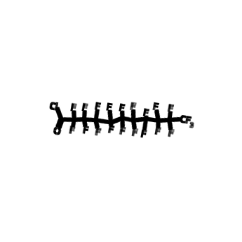 O=C(Cl)C(F)(F)C(F)(F)C(F)(F)C(F)(F)C(F)(F)C(F)(F)C(F)(F)C(F)(F)C(F)(F)C(F)(F)F